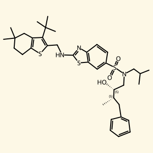 CC(C)CN(C[C@@H](O)[C@@H](C)Cc1ccccc1)S(=O)(=O)c1ccc2nc(NCc3sc4c(c3C(C)(C)C)CC(C)(C)CC4)sc2c1